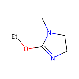 CCOC1=NCCN1C